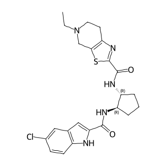 CCN1CCc2nc(C(=O)N[C@@H]3CCC[C@H]3NC(=O)c3cc4cc(Cl)ccc4[nH]3)sc2C1